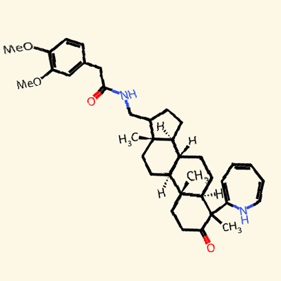 COc1ccc(CC(=O)NCC2CC[C@H]3[C@@H]4CC[C@H]5C(C)(C6=CC=CC=CN6)C(=O)CC[C@]5(C)[C@H]4CC[C@]23C)cc1OC